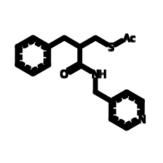 CC(=O)SCC(Cc1ccccc1)C(=O)NCc1ccncc1